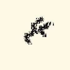 CC(C)(Oc1ccc(Cl)cc1)C(=O)OCCCOC(=O)c1cccnc1.CC(C)(Oc1ccc(Cl)cc1)C(=O)OCc1cccc(CO)n1.CC(C)(Oc1ccc(Cl)cc1)C(=O)OCc1cccc(CO)n1